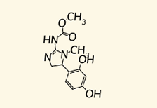 COC(=O)NC1=NCC(c2ccc(O)cc2O)N1C